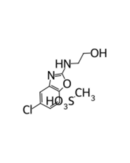 CS(=O)(=O)O.OCCNc1nc2cc(Cl)ccc2o1